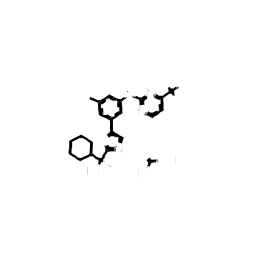 Cc1cc(Nc2nccc(C(F)(F)F)n2)cc(-c2cnc([C@](C)(O)C3CCCCC3)s2)c1.O=C(O)O